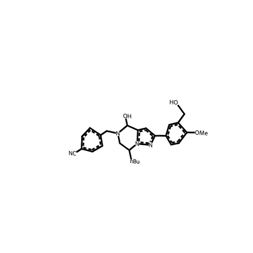 CCCCC1CN(Cc2ccc(C#N)cc2)C(O)c2cc(-c3ccc(OC)c(CO)c3)nn21